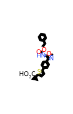 O=C(Nc1ocnc1-c1ccc(-c2ccc(C3(C(=O)O)CC3)s2)cc1)OCCc1ccccc1